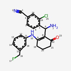 N#Cc1ccc(C(N)C2=C(Nc3cccc(CF)c3)CCCC2=O)c(Cl)c1